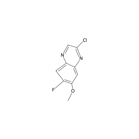 COc1cc2nc(Cl)cnc2cc1F